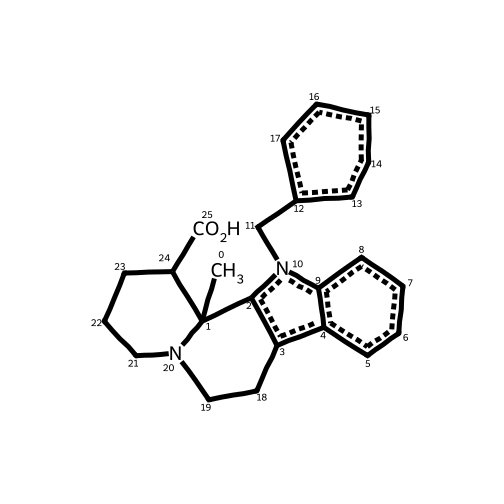 CC12c3c(c4ccccc4n3Cc3ccccc3)CCN1CCCC2C(=O)O